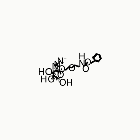 [N-]=[N+]=N[C@H]1[C@@H](OCCOCCNC(=O)OCc2ccccc2)O[C@H](CO)[C@@H](O)[C@@H]1O